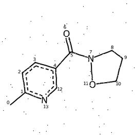 Cc1ccc(C(=O)N2CCCO2)cn1